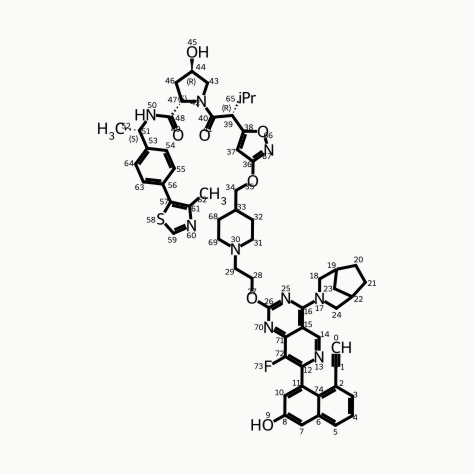 C#Cc1cccc2cc(O)cc(-c3ncc4c(N5CC6CCC(C6)C5)nc(OCCN5CCC(COc6cc([C@H](C(=O)N7C[C@H](O)C[C@H]7C(=O)N[C@@H](C)c7ccc(-c8scnc8C)cc7)C(C)C)on6)CC5)nc4c3F)c12